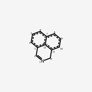 [CH]1N=Cc2cccc3cccc1c23